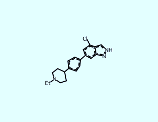 CCN1CCC(c2ccc(-c3cc(Cl)c4c[nH]nc4c3)cc2)CC1